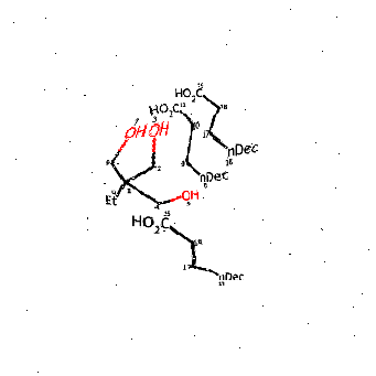 CCC(CO)(CO)CO.CCCCCCCCCCCCC(=O)O.CCCCCCCCCCCCC(=O)O.CCCCCCCCCCCCC(=O)O